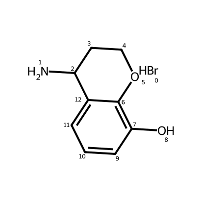 Br.NC1CCOc2c(O)cccc21